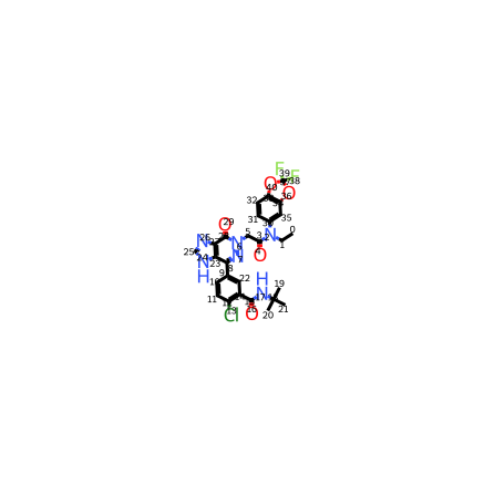 CCN(C(=O)Cn1nc(-c2ccc(Cl)c(C(=O)NC(C)(C)C)c2)c2[nH]cnc2c1=O)c1ccc2c(c1)OC(F)(F)O2